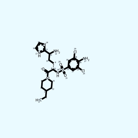 CCC1CCN(C(=O)[C@H](CCC(N)c2ncc[nH]2)NS(=O)(=O)c2cc(Cl)c(N)c(Cl)c2)CC1